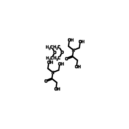 COC.COC.O=C(CO)N(CO)CO.O=C(CO)N(CO)CO